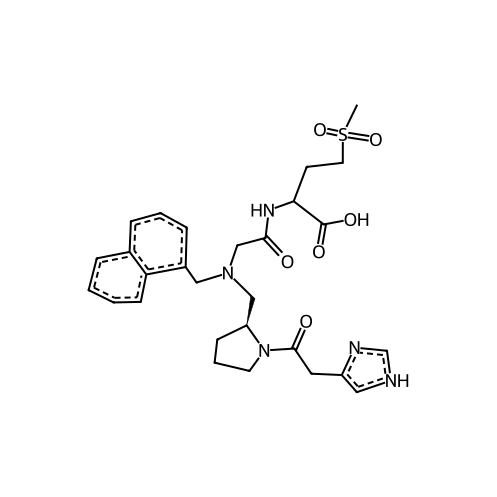 CS(=O)(=O)CCC(NC(=O)CN(Cc1cccc2ccccc12)C[C@@H]1CCCN1C(=O)Cc1c[nH]cn1)C(=O)O